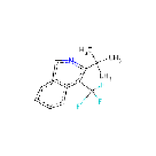 CC(C)(C)c1ncc2ccccc2c1C(F)(F)F